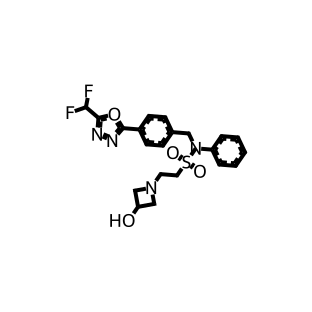 O=S(=O)(CCN1CC(O)C1)N(Cc1ccc(-c2nnc(C(F)F)o2)cc1)c1ccccc1